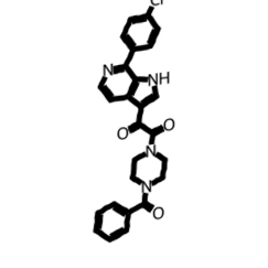 O=C(C(=O)N1CCN(C(=O)c2ccccc2)CC1)c1c[nH]c2c(-c3ccc(Cl)cc3)nccc12